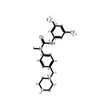 CN(C(=O)Nc1cc(C(F)(F)F)cc(C(F)(F)F)c1)c1ccc(CN2CCOCC2)cc1